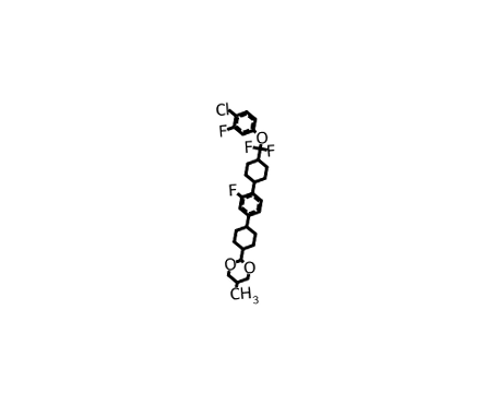 CC1COC(C2CCC(c3ccc(C4CCC(C(F)(F)Oc5ccc(Cl)c(F)c5)CC4)c(F)c3)CC2)OC1